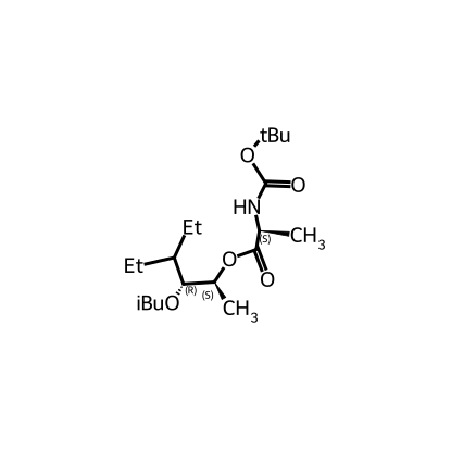 CCC(CC)[C@@H](OCC(C)C)[C@H](C)OC(=O)[C@H](C)NC(=O)OC(C)(C)C